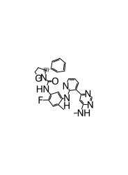 CNc1cc(-c2cccnc2Nc2cc(NC(=O)N3OCC[C@@H]3c3ccccc3)c(F)cc2C)ncn1